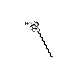 CCCCCCCCCCCCCCOC(=O)N1CCN=C1C(=O)O